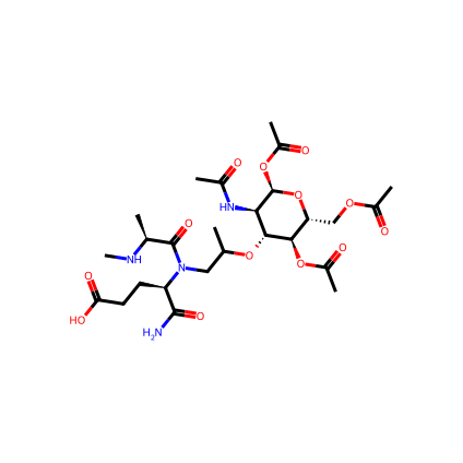 CN[C@@H](C)C(=O)N(CC(C)O[C@@H]1[C@@H](NC(C)=O)[C@@H](OC(C)=O)O[C@H](COC(C)=O)[C@H]1OC(C)=O)[C@H](CCC(=O)O)C(N)=O